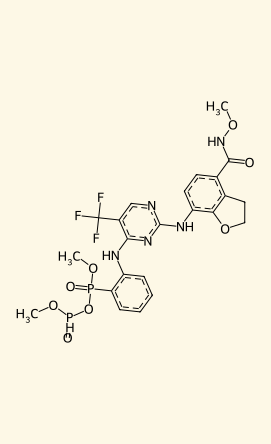 CONC(=O)c1ccc(Nc2ncc(C(F)(F)F)c(Nc3ccccc3P(=O)(OC)O[PH](=O)OC)n2)c2c1CCO2